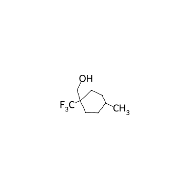 CC1CCC(CO)(C(F)(F)F)CC1